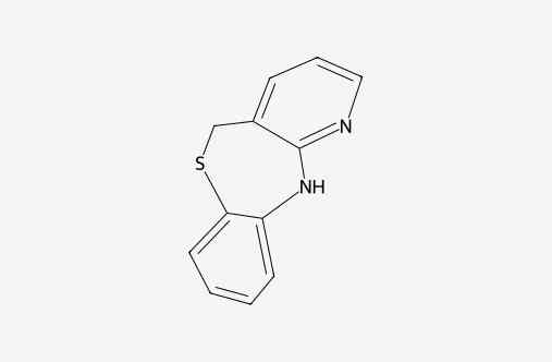 c1cnc2c(c1)CSc1ccccc1N2